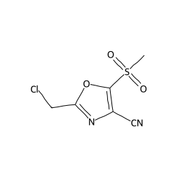 CS(=O)(=O)c1oc(CCl)nc1C#N